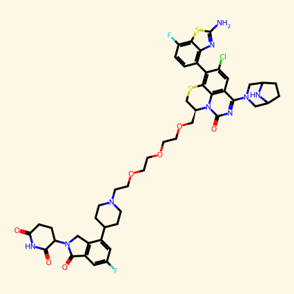 Nc1nc2c(-c3c(Cl)cc4c(N5CC6CCC(C5)N6)nc(=O)n5c4c3SC[C@@H]5COCCOCCOCCN3CCC(c4cc(F)cc5c4CN(C4CCC(=O)NC4=O)C5=O)CC3)ccc(F)c2s1